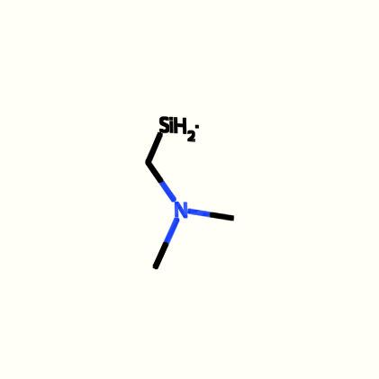 CN(C)C[SiH2]